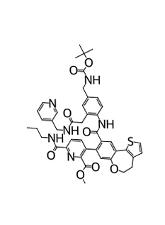 CCCNC(=O)c1ccc(-c2cc3c(cc2C(=O)Nc2ccc(CNC(=O)OC(C)(C)C)cc2CC(=O)NCc2cccnc2)-c2sccc2CCO3)c(C(=O)OC)n1